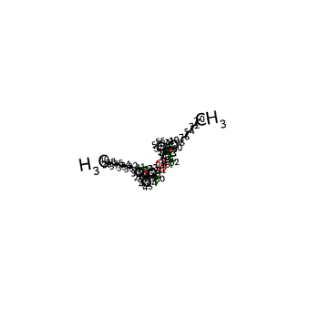 CCCCCCCCC[C@H]1CC[C@H](C2([C@@]3(F)C=C[C@@H](COC[C@@H]4C=C[C@](F)(C5([C@H]6CC[C@H](CCCCCCCCC)CC6)CCCCC5)C=C4F)C(F)=C3)CCCCC2)CC1